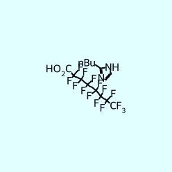 CCCCc1ncc[nH]1.O=C(O)C(F)(F)C(F)(F)C(F)(F)C(F)(F)C(F)(F)C(F)(F)C(F)(F)F